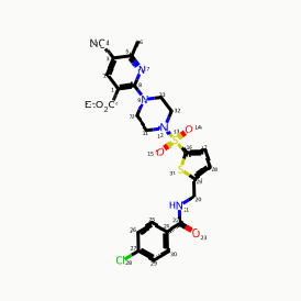 CCOC(=O)c1cc(C#N)c(C)nc1N1CCN(S(=O)(=O)c2ccc(CNC(=O)c3ccc(Cl)cc3)s2)CC1